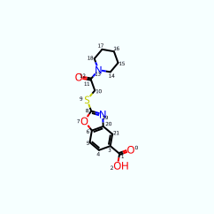 O=C(O)c1ccc2oc(SCC(=O)N3CCCCC3)nc2c1